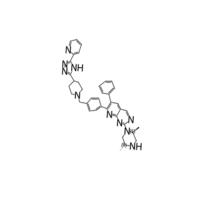 C[C@@H]1CN(c2ncc3cc(-c4ccccc4)c(-c4ccc(CN5CCC(c6nnc(-c7ccccn7)[nH]6)CC5)cc4)nc3n2)[C@@H](C)CN1